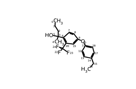 CCCC(C)(O)c1ccc(Oc2ccc(CC)cc2)cc1C(F)(F)F